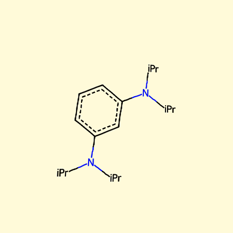 CC(C)N(c1cccc(N(C(C)C)C(C)C)c1)C(C)C